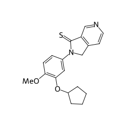 COc1ccc(N2Cc3ccncc3C2=S)cc1OC1CCCC1